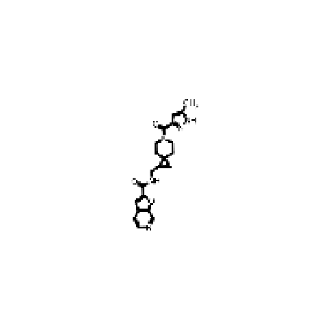 Cc1cc(C(=O)N2CCC3(CC2)CC3CNC(=O)c2cc3ccncc3o2)n[nH]1